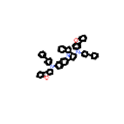 c1ccc(-c2ccc(N(c3ccc4cc5c6ccc(N(c7ccc(-c8ccccc8)cc7)c7ccc8oc9ccccc9c8c7)c7c8ccc9ccccc9c8n(c5cc4c3)c67)c3ccc4oc5ccccc5c4c3)cc2)cc1